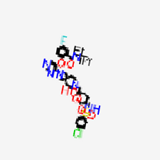 CCN(C(=O)c1cc(F)ccc1Oc1cncnc1N1CC2(CCN(C[C@@]3(O)CC[C@@H](NS(=O)(=O)c4ccc(Cl)cc4)CO3)CC2)C1)C(C)C